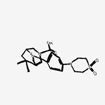 CC1(C)CC2CN(C(=O)O)CC1N(c1ccc(N3CCS(=O)(=O)CC3)cc1)C2